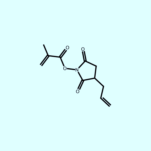 C=CCC1CC(=O)N(OC(=O)C(=C)C)C1=O